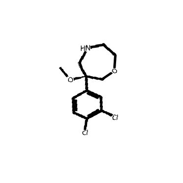 CO[C@@]1(c2ccc(Cl)c(Cl)c2)CNCCOC1